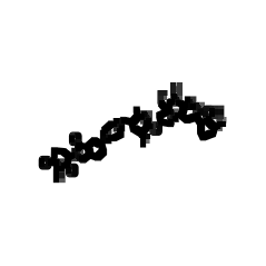 Cc1nc(OC2CN3c4cc(-c5cccc(F)c5O)nnc4NCC3(CF)C2)c(F)cc1CN1CCN(c2ccc3c(c2)C(=O)N(C2CCC(=O)NC2=O)C3)CC1